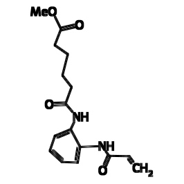 C=CC(=O)Nc1ccccc1NC(=O)CCCCC(=O)OC